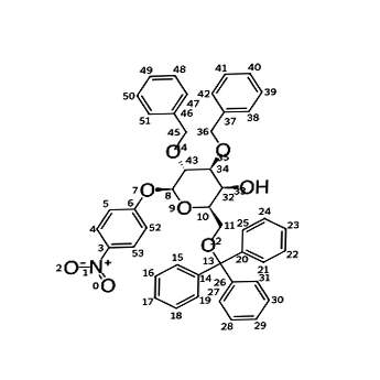 O=[N+]([O-])c1ccc(O[C@@H]2O[C@H](COC(c3ccccc3)(c3ccccc3)c3ccccc3)[C@H](O)[C@H](OCc3ccccc3)[C@H]2OCc2ccccc2)cc1